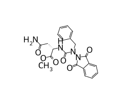 COC(=O)[C@H](CC(N)=O)NC(=O)N(Cc1ccccc1)N1C(=O)c2ccccc2C1=O